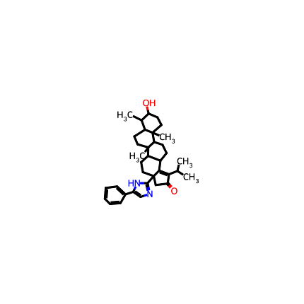 CC(C)C1=C2C3CCC4C(C)(CCC5C(C)C(O)CCC54C)C3CCC2(c2ncc(-c3ccccc3)[nH]2)CC1=O